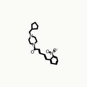 O=C(/C=C/C=C/c1ccccc1[N+](=O)[O-])N1CCN(CC2CCCC2)CC1